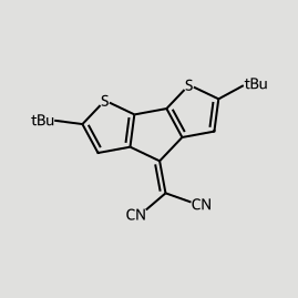 [C-]#[N+]C(C#N)=C1c2cc(C(C)(C)C)sc2-c2sc(C(C)(C)C)cc21